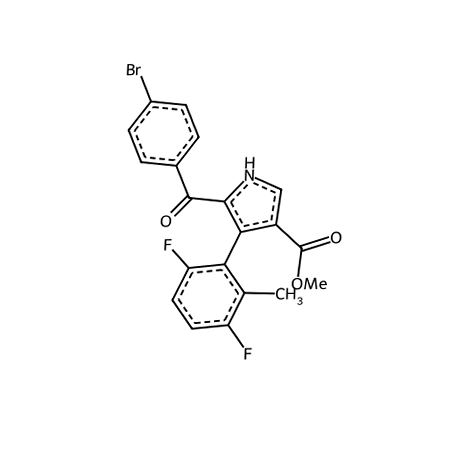 COC(=O)c1c[nH]c(C(=O)c2ccc(Br)cc2)c1-c1c(F)ccc(F)c1C